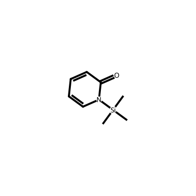 C[Si](C)(C)n1ccccc1=O